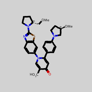 COC[C@H]1CCCN1c1nc2ccc(-n3cc(C(=O)O)c(=O)cc3-c3ccc(N4CC[C@@H](OC)C4)cc3)cc2s1